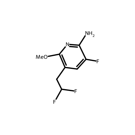 COc1nc(N)c(F)cc1CC(F)F